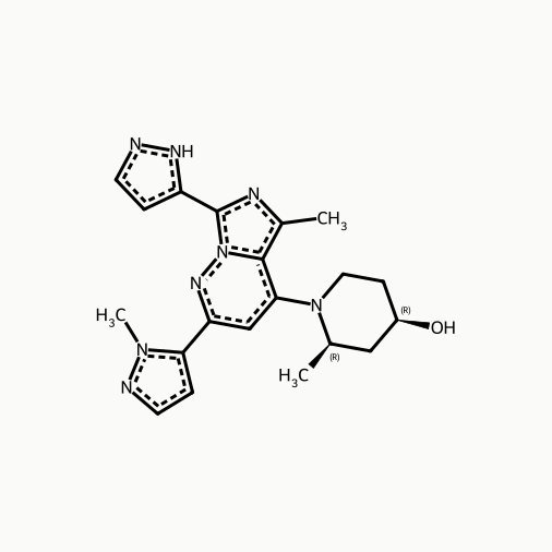 Cc1nc(-c2ccn[nH]2)n2nc(-c3ccnn3C)cc(N3CC[C@@H](O)C[C@H]3C)c12